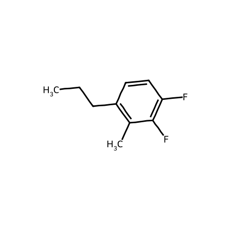 CCCc1ccc(F)c(F)c1C